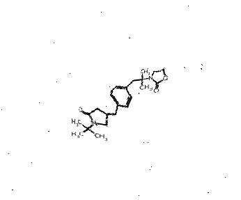 CC(C)(C)N1CC(Cc2ccc(CC(C)(C)N3CCOC3=O)cc2)CC1=O